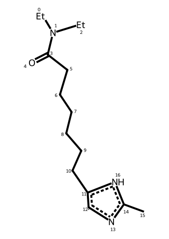 CCN(CC)C(=O)CCCCCCc1[c]nc(C)[nH]1